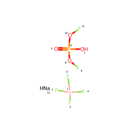 F[B-](F)(F)F.O=P(O)(OF)OF.[NaH]